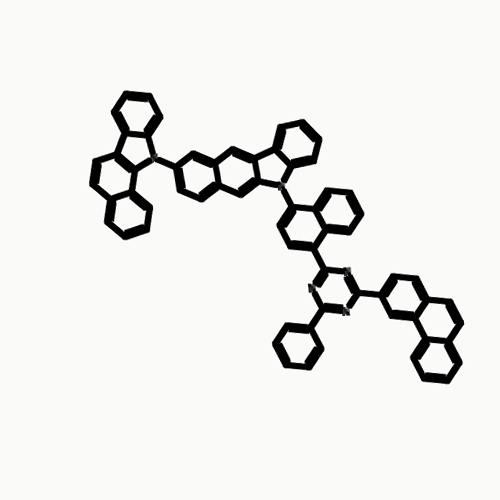 c1ccc(-c2nc(-c3ccc4ccc5ccccc5c4c3)nc(-c3ccc(-n4c5ccccc5c5cc6cc(-n7c8ccccc8c8ccc9ccccc9c87)ccc6cc54)c4ccccc34)n2)cc1